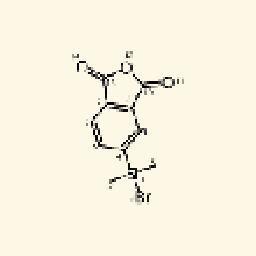 C[Si](C)(Br)c1ccc2c(c1)C(=O)OC2=O